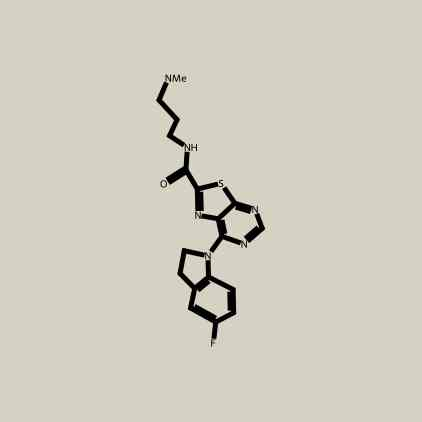 CNCCCNC(=O)c1nc2c(N3CCc4cc(F)ccc43)ncnc2s1